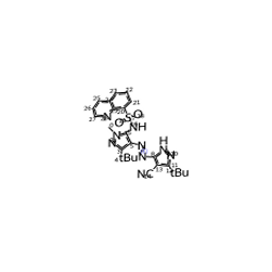 Cn1nc(C(C)(C)C)c(/N=N/c2[nH]nc(C(C)(C)C)c2C#N)c1NS(=O)(=O)c1cccc2cccnc12